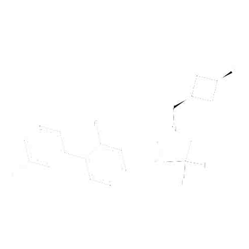 C[C@@H]1[C@H](Cc2cccc(-c3cc(F)ccc3F)c2F)N(C(=O)[C@H]2C[C@@H](F)C2)CC1(F)F